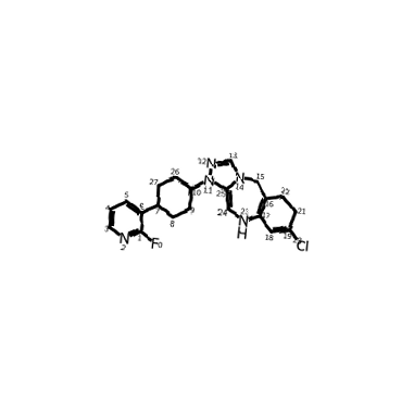 Fc1ncccc1C1CCC(N2N=CN3CC4=C(C=C(Cl)CC4)NC=C32)CC1